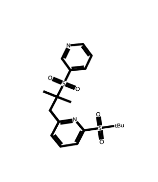 CC(C)(C)S(=O)(=O)c1cccc(CC(C)(C)S(=O)(=O)c2cccnc2)n1